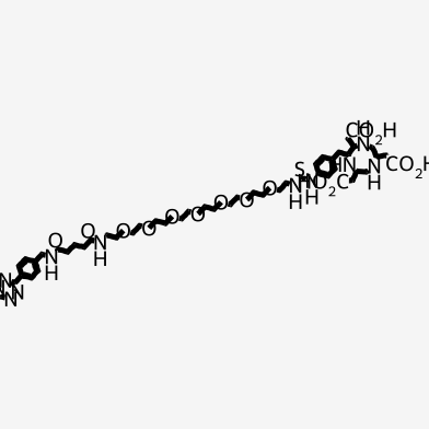 O=C(O)CC1CNC(CC(=O)O)C(Cc2ccc(NC(=S)NCCOCCOCCOCCOCCOCCOCCOCCNC(=O)CCCC(=O)NCc3ccc(-c4nncnn4)cc3)cc2)NC(CC(=O)O)CN1